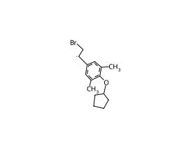 Cc1cc([CH]CBr)cc(C)c1OC1CCCC1